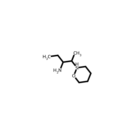 CCC(N)C(C)[SiH]1CCCCO1